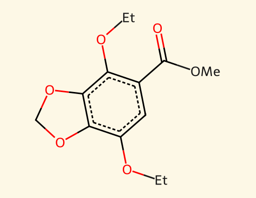 CCOc1cc(C(=O)OC)c(OCC)c2c1OCO2